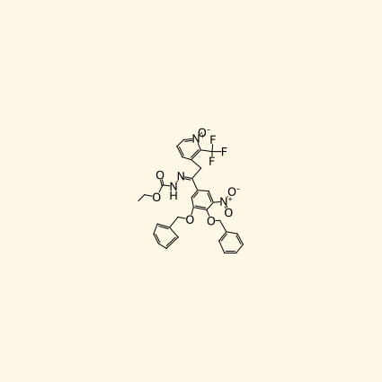 CCOC(=O)NN=C(Cc1ccc[n+]([O-])c1C(F)(F)F)c1cc(OCc2ccccc2)c(OCc2ccccc2)c([N+](=O)[O-])c1